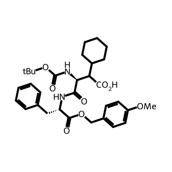 COc1ccc(COC(=O)[C@H](Cc2ccccc2)NC(=O)[C@@H](NC(=O)OC(C)(C)C)C(C(=O)O)C2CCCCC2)cc1